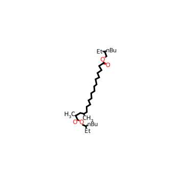 CCCCC(CC)COC(=O)CCCCCCCCCCCCCCC(C)CC(C)C(=O)OCC(CC)CCCC